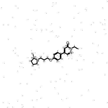 CCn1ncc(-c2ccc(OCCCN3CCC[C@H]3C)cc2)cc1=O